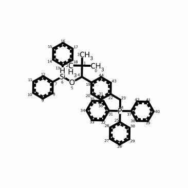 CC(C)(C)C(O[SiH](c1ccccc1)c1ccccc1)c1ccc(C[P](c2ccccc2)(c2ccccc2)c2ccccc2)cc1